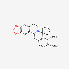 COc1ccc2c(c1OC)C1(CCCC1)N1CCc3cc4c(cc3C1=C2)OCO4